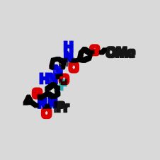 COCCOc1ccc(C(=O)N[C@@H]2CCCN(C(=O)Nc3cc4c(=O)n(CC5CC5)c(=O)n(C(C)C)c4cc3F)C2)cc1